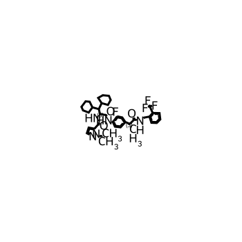 CC(C)n1nccc1C(=O)N[C@H](C(=O)Nc1ccc([C@H](C)C(=O)NCc2ccccc2C(F)(F)F)cc1F)C(C1CCCCC1)C1CCCCC1